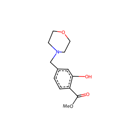 COC(=O)c1ccc(CN2CCOCC2)cc1O